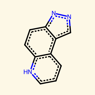 c1c[nH]c2ccc3nncc3c2c1